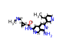 CCc1ccncc1-c1cc2cc(NC(=O)[C@H]3C[C@@H]3/C=N\C)ncc2c(N)n1